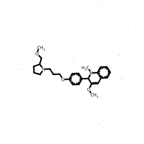 COCC1CCCN1CCCOc1ccc(C2C(OC)=Cc3ccccc3N2C)cc1